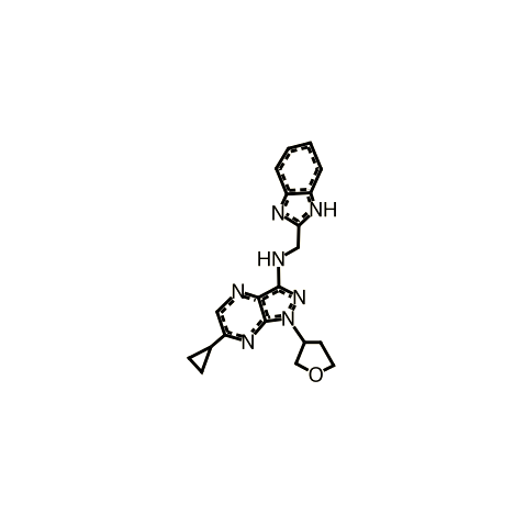 c1ccc2[nH]c(CNc3nn(C4CCOC4)c4nc(C5CC5)cnc34)nc2c1